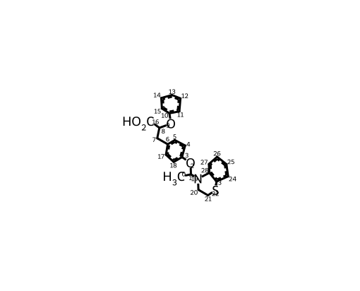 CC(Oc1ccc(CC(Oc2ccccc2)C(=O)O)cc1)N1CCSc2ccccc21